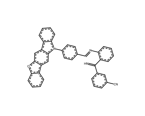 N#Cc1cccc(C(=N)c2ccccc2/N=C/c2ccc(-n3c4ccccc4c4cc5oc6ccccc6c5cc43)cc2)c1